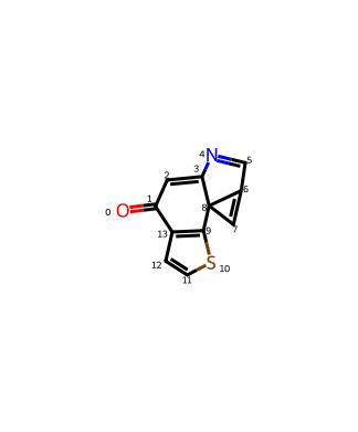 O=C1C=C2N=CC3=CC32c2sccc21